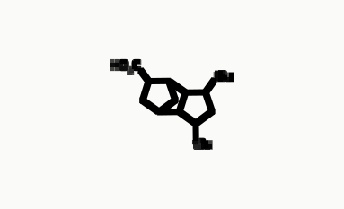 CC(C)(C)C1CC(C(C)(C)C)C2C3CC(CC3C(=O)O)C21